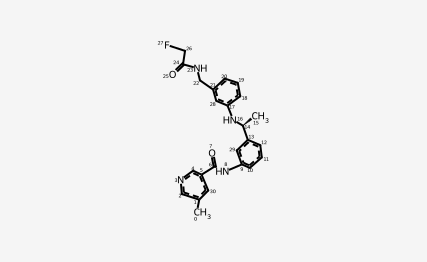 Cc1cncc(C(=O)Nc2cccc([C@H](C)Nc3cccc(CNC(=O)CF)c3)c2)c1